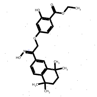 CCOC(=O)c1ccc(OC/C(=N/O)c2ccc3c(c2)C(C)(C)CCC3(C)C)cc1O